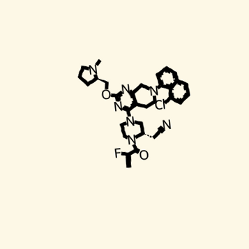 C=C(F)C(=O)N1CCN(c2nc(OC[C@H]3CCCN3C)nc3c2CCN(c2cccc4cccc(Cl)c24)C3)C[C@@H]1CC#N